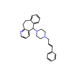 C(=C\c1ccccc1)/CN1CCN(C2c3ccccc3CCc3ncccc32)CC1